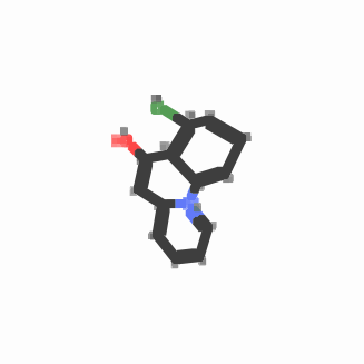 Oc1cc2cccc[n+]2c2cccc(Cl)c12